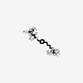 C=NN(C(=O)/C(Cl)=C(\C)OCc1ccc(CCCCO[Si](C)(C)C(C)(C)C)cc1)C(C)(C)C